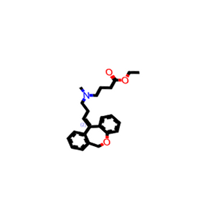 CCOC(=O)CCCN(C)CC/C=C1/c2ccccc2COc2ccccc21